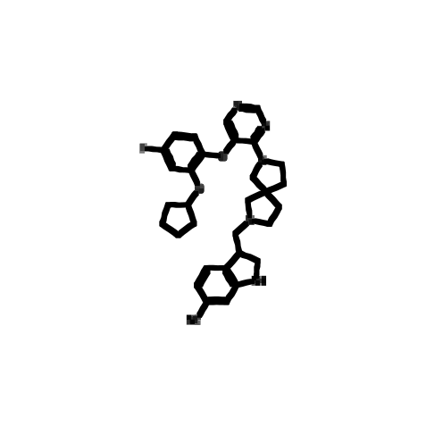 N#Cc1ccc2c(c1)NCC2CN1CCC2(CCN(c3ncncc3Oc3ccc(F)cc3OC3CCCC3)C2)C1